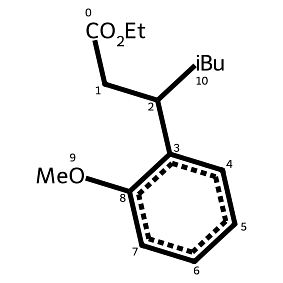 CCOC(=O)CC(c1ccccc1OC)C(C)CC